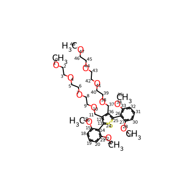 COCCOCCOCCOCc1c(-c2c(OC)cccc2OC)sc(-c2c(OC)cccc2OC)c1COCCOCCOCCOC